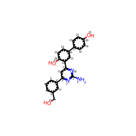 Nc1nc(-c2cccc(CO)c2)cc(-c2cc(-c3ccc(O)cc3)ccc2O)n1